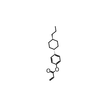 C=CC(=O)Oc1ccc([C@H]2CC[C@H](CCC)CC2)cc1